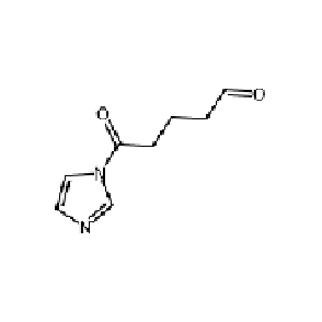 O=CCCCC(=O)n1ccnc1